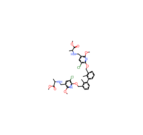 COC(=O)C(C)NCc1cc(Cl)c(OCc2cccc(-c3cccc(COc4nc(OC)c(CNC(C)C(=O)OC)cc4Cl)c3C)c2C)nc1OC